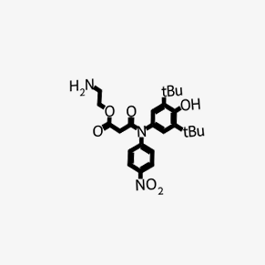 CC(C)(C)c1cc(N(C(=O)CC(=O)OCCN)c2ccc([N+](=O)[O-])cc2)cc(C(C)(C)C)c1O